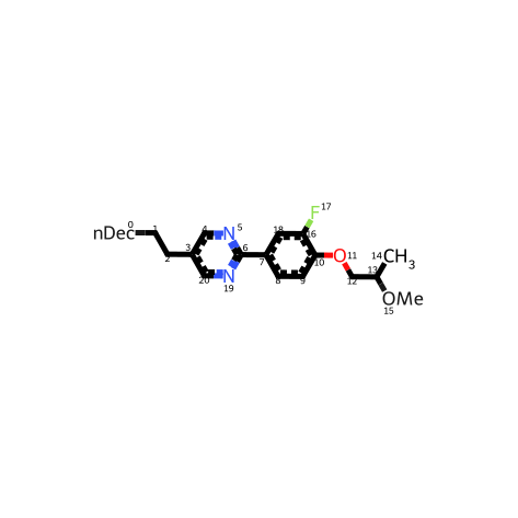 CCCCCCCCCCCCc1cnc(-c2ccc(OCC(C)OC)c(F)c2)nc1